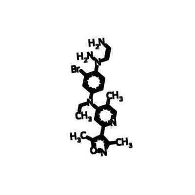 CCN(c1ccc(N(N)/C=C\N)c(Br)c1)c1cc(-c2c(C)noc2C)ncc1C